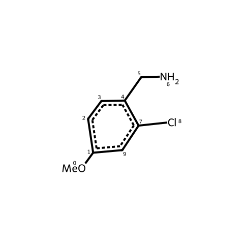 COc1ccc(CN)c(Cl)c1